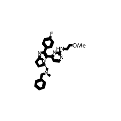 COCCNc1nccc(-c2c(-c3ccc(F)cc3)nc3n2[C@H](CN(C)Cc2ccccc2)CC3)n1